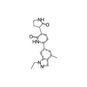 CCn1ncc2c(C)cc(-c3ccc(C4CCNC4=O)c(=O)[nH]3)cc21